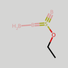 B#S(=BB)OCC